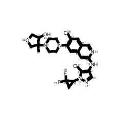 CC1(N2CCN(c3cc4cc(Nc5cnn(C6CC6(F)F)c5Cl)ncc4cc3Cl)CC2)COCC1O